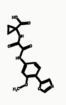 COc1cc(NC(=O)C(=O)NC2(C(=O)O)CC2)ccc1-c1cnco1